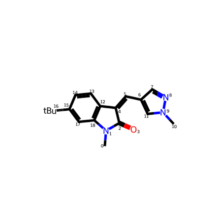 CN1C(=O)/C(=C\c2cnn(C)c2)c2ccc(C(C)(C)C)cc21